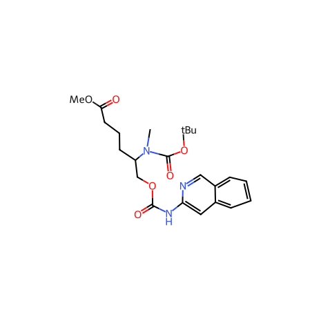 COC(=O)CCCC(COC(=O)Nc1cc2ccccc2cn1)N(C)C(=O)OC(C)(C)C